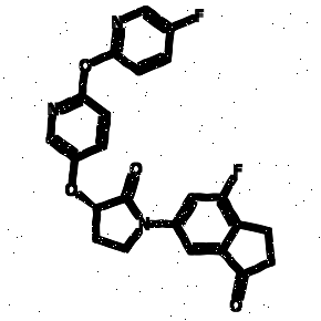 O=C1CCc2c(F)cc(N3CC[C@@H](Oc4ccc(Oc5ccc(F)cn5)nc4)C3=O)cc21